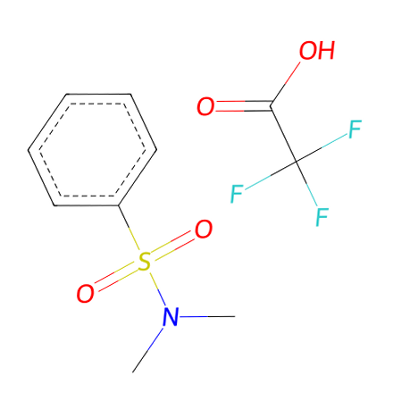 CN(C)S(=O)(=O)c1ccccc1.O=C(O)C(F)(F)F